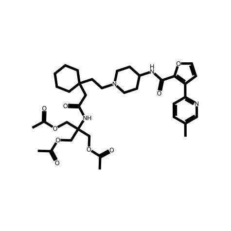 CC(=O)OCC(COC(C)=O)(COC(C)=O)NC(=O)CC1(CCN2CCC(NC(=O)c3occc3-c3ccc(C)cn3)CC2)CCCCC1